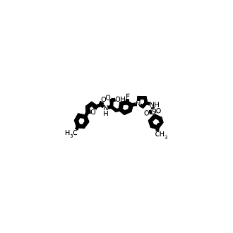 Cc1ccc(-c2ccc(C(=O)NC(Cc3ccc(N4CCC(NS(=O)(=O)c5ccc(C)cc5)C4)c(F)c3)C(=O)O)o2)cc1